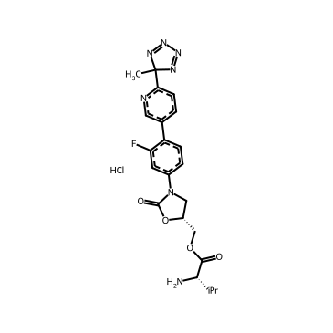 CC(C)[C@H](N)C(=O)OC[C@H]1CN(c2ccc(-c3ccc(C4(C)N=NN=N4)nc3)c(F)c2)C(=O)O1.Cl